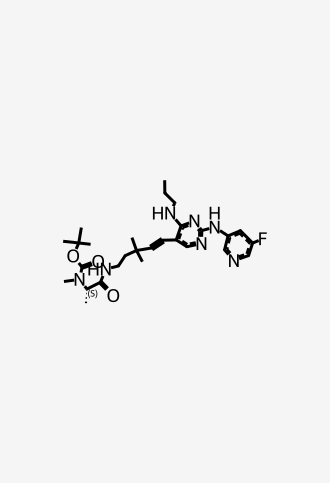 CCCNc1nc(Nc2cncc(F)c2)ncc1C#CC(C)(C)CCNC(=O)[C@H](C)N(C)C(=O)OC(C)(C)C